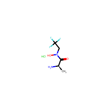 C[C@@H](N)C(=O)N(O)CC(F)(F)F.Cl